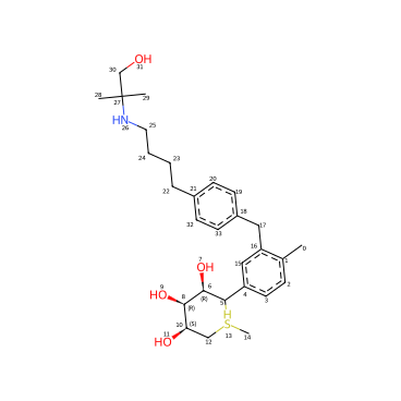 Cc1ccc(C2[C@H](O)[C@H](O)[C@H](O)C[SH]2C)cc1Cc1ccc(CCCCNC(C)(C)CO)cc1